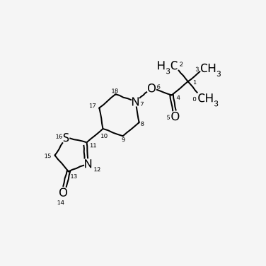 CC(C)(C)C(=O)ON1CCC(C2=NC(=O)CS2)CC1